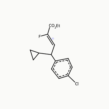 CCOC(=O)/C(F)=C/C(c1ccc(Cl)cc1)C1CC1